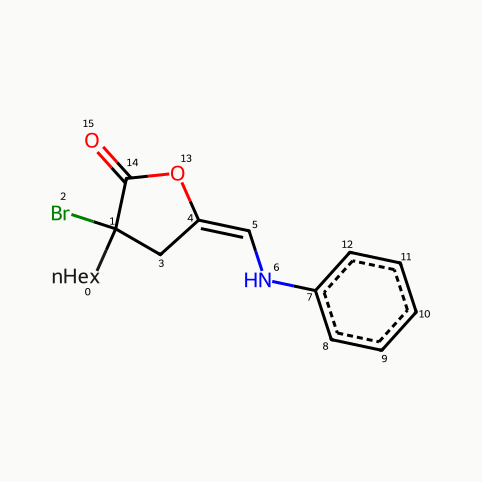 CCCCCCC1(Br)C/C(=C\Nc2ccccc2)OC1=O